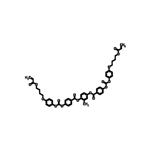 C=CC(=O)OCCCCOc1ccc(OC(=O)Oc2ccc(C(=O)Oc3ccc(OC(=O)c4ccc(OC(=O)Oc5ccc(OCCCCOC(=O)C=C)cc5)cc4)c(C)c3)cc2)cc1